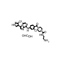 NCCNC(=O)N1CCN(C(=O)c2ccc(Nc3nccn4c(-c5c[nH]nc5C(F)(F)F)cnc34)cc2Cl)CC1.O=CO